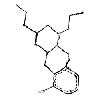 CCCN1CC(CSC)CC2Cc3c(O)cccc3CC21